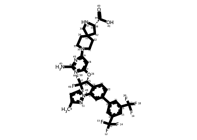 Cc1ccn(-c2cc(-c3cc(C(F)(F)F)cc(C(F)(F)F)c3)ccc2[C@@H](Oc2cc(N3CCC4(CC3)CN[C@H](C(=O)O)C4)nc(N)n2)C(F)(F)F)n1